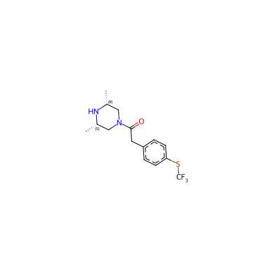 C[C@@H]1CN(C(=O)Cc2ccc(SC(F)(F)F)cc2)C[C@H](C)N1